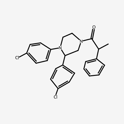 CC(C(=O)N1CCN(c2ccc(Cl)cc2)C(c2ccc(Cl)cc2)C1)c1ccccc1